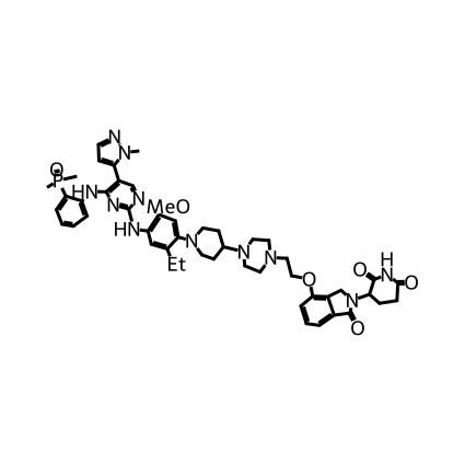 CCc1cc(Nc2ncc(-c3ccnn3C)c(Nc3ccccc3P(C)(C)=O)n2)c(OC)cc1N1CCC(N2CCN(CCOc3cccc4c3CN(C3CCC(=O)NC3=O)C4=O)CC2)CC1